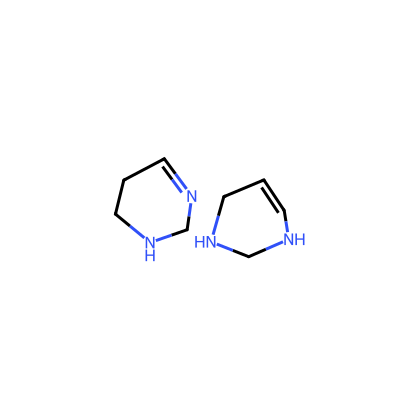 C1=CNCNC1.C1=NCNCC1